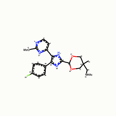 COc1nccc(-c2[nH]c(C3OCC(C)(CNC(C)=O)CO3)nc2-c2ccc(F)cc2)n1